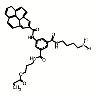 C=CC(=O)OCCCNC(=O)c1cc(NC(=O)C2=CC3=CC=C4CC=CC5=C4C3C(=C2)C=C5)cc(C(=O)NCCCCN(CC)CC)c1